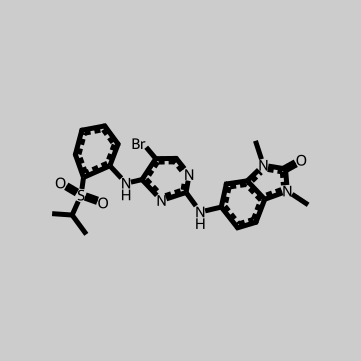 CC(C)S(=O)(=O)c1ccccc1Nc1nc(Nc2ccc3c(c2)n(C)c(=O)n3C)ncc1Br